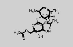 CC(=O)OCC1O[C@@H](O[C@@H]2C(C)CO[C@H](C)[C@@H]3OC23)[C@@H](OC(C)=O)C(O)[C@@H]1O